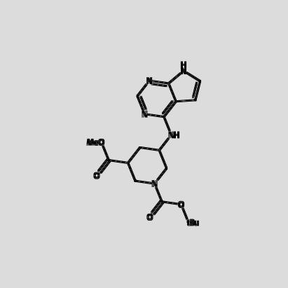 COC(=O)C1CC(Nc2ncnc3[nH]ccc23)CN(C(=O)OC(C)(C)C)C1